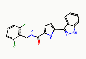 O=C(NCc1c(F)cccc1Cl)c1ccc(-c2n[nH]c3ccccc23)[nH]1